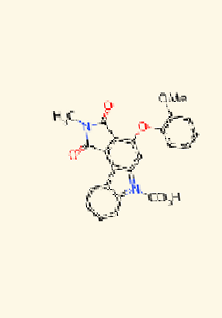 COc1ccccc1Oc1cc2c(c3c1C(=O)N(C)C3=O)c1ccccc1n2C(=O)O